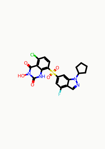 O=c1[nH]c2c(S(=O)(=O)c3cc(F)c4cnn(C5CCCC5)c4c3)ccc(Cl)c2c(=O)n1O